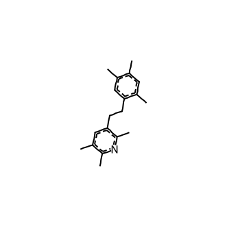 Cc1cc(C)c(CCc2cc(C)c(C)nc2C)cc1C